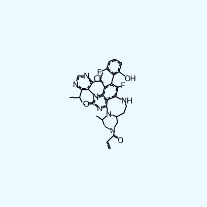 C=CC(=O)N1CC(C)N2c3nc(=O)n(-c4c(C(C)C)ncnc4C(C)C)c4c(Cl)c(-c5c(O)cccc5F)c(F)c(c34)NCCC2C1